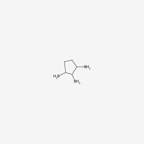 BC1CCC(B)C1B